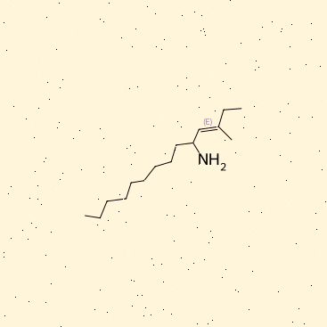 CCCCCCCCCC(N)/C=C(\C)CC